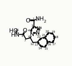 NC(=O)c1cn(C(CC(=O)NO)Cc2ccc3ccccc3c2)nn1